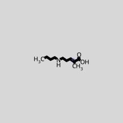 CCCCNCC/C=C(\C)C(=O)O